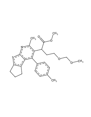 COCOCCC(C(=O)OC)c1c(C)nc2sc3c(c2c1-c1ccc(C)cc1)CCC3